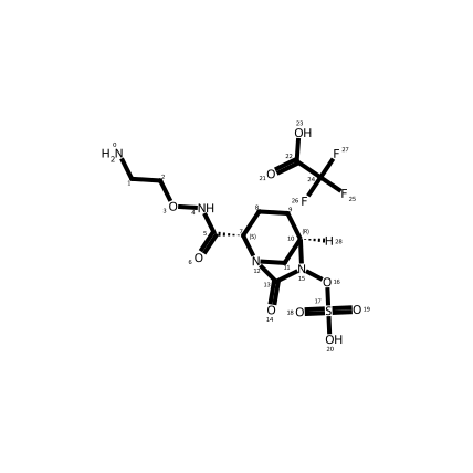 NCCONC(=O)[C@@H]1CC[C@@H]2CN1C(=O)N2OS(=O)(=O)O.O=C(O)C(F)(F)F